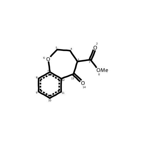 COC(=O)C1CCOc2ccccc2C1=O